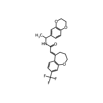 CC(NC(=O)C=C1CCCOc2cc(C(F)(F)F)ccc21)c1ccc2c(c1)OCCO2